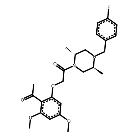 COc1cc(OC)c(C(C)=O)c(OCC(=O)N2C[C@H](C)N(Cc3ccc(F)cc3)C[C@H]2C)c1